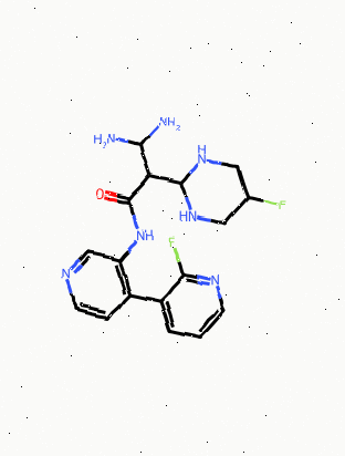 NC(N)C(C(=O)Nc1cnccc1-c1cccnc1F)C1NCC(F)CN1